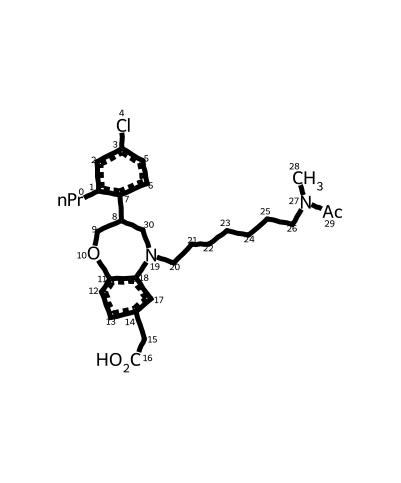 CCCc1cc(Cl)ccc1C1COc2ccc(CC(=O)O)cc2N(CCCCCCCN(C)C(C)=O)C1